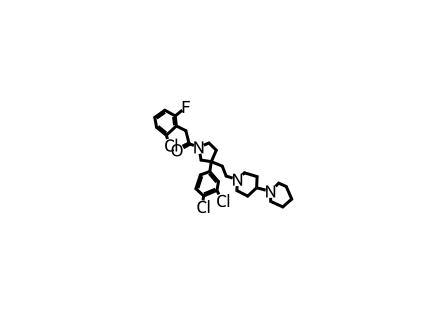 O=C(Cc1c(F)cccc1Cl)N1CCC(CCN2CCC(N3CCCCC3)CC2)(c2ccc(Cl)c(Cl)c2)C1